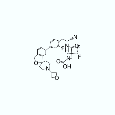 N#CC(Cc1ccc(-c2ccc3c(c2)C2(CCN(C4COC4)CC2)OC3)cc1F)NC(=O)C1(C(F)F)CN(C(=O)O)C1